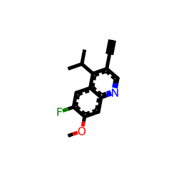 C#Cc1cnc2cc(OC)c(F)cc2c1C(C)C